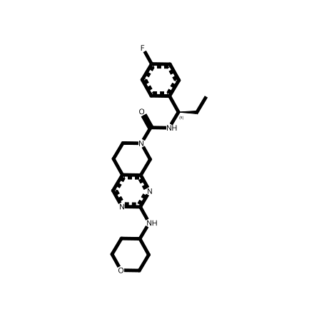 CC[C@@H](NC(=O)N1CCc2cnc(NC3CCOCC3)nc2C1)c1ccc(F)cc1